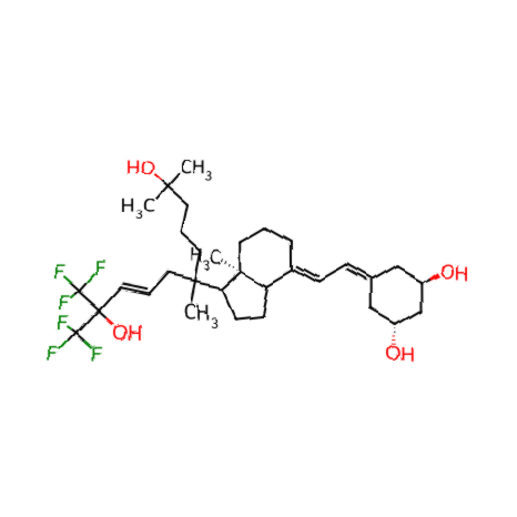 CC(C)(O)CCCC(C)(C/C=C/C(O)(C(F)(F)F)C(F)(F)F)C1CCC2/C(=C/C=C3C[C@@H](O)C[C@H](O)C3)CCC[C@@]21C